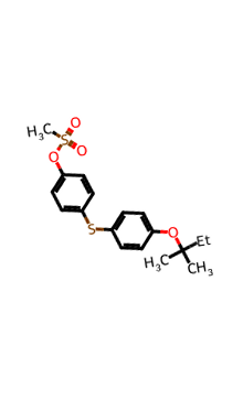 CCC(C)(C)Oc1ccc(Sc2ccc(OS(C)(=O)=O)cc2)cc1